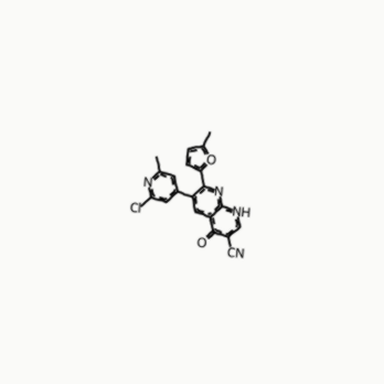 Cc1cc(-c2cc3c(=O)c(C#N)c[nH]c3nc2-c2ccc(C)o2)cc(Cl)n1